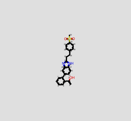 C=C(O)c1ccccc1-c1ccc2[nH]c(CCc3ccc(S(C)(=O)=O)cc3)nc2c1